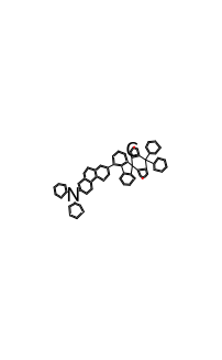 c1ccc(N(c2ccccc2)c2ccc3c(ccc4cc(-c5cccc6c5-c5ccccc5C65c6ccccc6C(c6ccccc6)(c6ccccc6)c6ccccc65)ccc43)c2)cc1